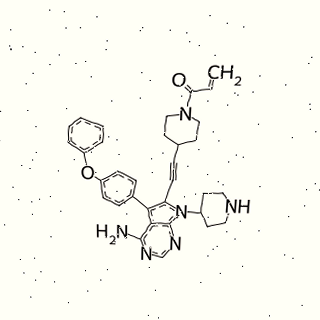 C=CC(=O)N1CCC(C#Cc2c(-c3ccc(Oc4ccccc4)cc3)c3c(N)ncnc3n2C2CCNCC2)CC1